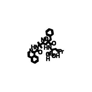 CC(C)CC(NC(=O)C1(Cc2ccccc2)CC(C(C)(C)NC(=O)c2nccc3ccccc23)=NO1)B(O)O